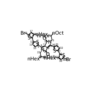 CCCCCCCCC(CCCCCC)CN1C(=O)C2=C(c3ccc(-c4sc(Br)cc4CCCCCC)s3)N(CC(CCCCCC)CCCCCCCC)C(=O)C2=C1c1ccc(-c2sc(Br)cc2CCCCCC)s1